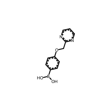 OB(O)c1ccc(OCc2ncccn2)cc1